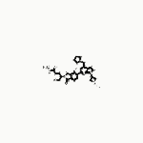 CNC(=O)CCC(C=O)N1Cc2c(ccc(-c3cc(CN4CCCC4)c4ccn(C5CN(C)C5)c4n3)c2F)C1=O